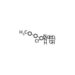 Cc1ccc(-c2ccc(-c3cc4nc(OC5CO[C@@H]6CCO[C@H]56)[nH]c4cc3Cl)cc2)cc1